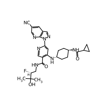 CC(C)(O)[C@H](F)CNC(=O)c1cnc(-n2ncc3cc(C#N)cnc32)cc1N[C@H]1CC[C@H](NC(=O)C2CC2)CC1